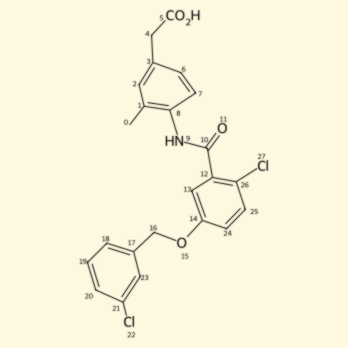 Cc1cc(CC(=O)O)ccc1NC(=O)c1cc(OCc2cccc(Cl)c2)ccc1Cl